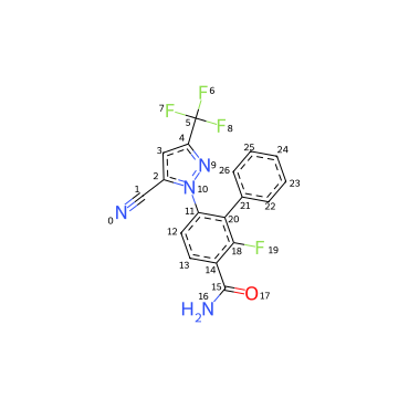 N#Cc1cc(C(F)(F)F)nn1-c1ccc(C(N)=O)c(F)c1-c1ccccc1